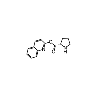 O=C(Oc1ccc2ccccc2n1)[C@@H]1CCCN1